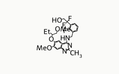 CCC(COC)Oc1cc2c(NCc3cccc(C(F)(F)CO)c3F)nc(C)nc2cc1OC